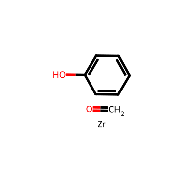 C=O.Oc1ccccc1.[Zr]